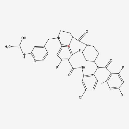 CB(O)Nc1cc(CN2CCC(C(=O)N3CCC(N(C(=O)c4c(F)cc(F)cc4F)c4ccc(Cl)cc4NC(=O)c4c(F)cc(F)cc4F)CC3)CC2)ccn1